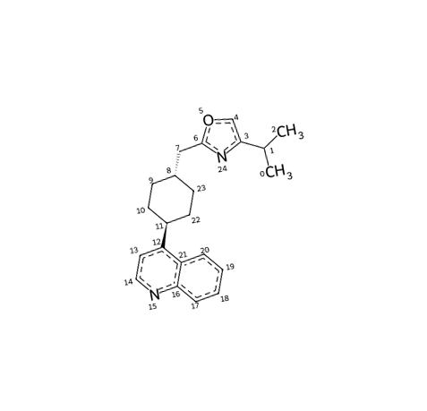 CC(C)c1coc(C[C@H]2CC[C@H](c3ccnc4ccccc43)CC2)n1